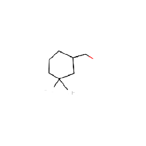 CC1(C)CCCC(CO)C1